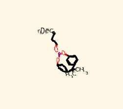 CCCCCCCCCCCCCOP1Oc2ccc(cc2)C(C)(C)c2ccc(cc2)O1